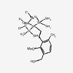 CCO[SiH](OCC)[Si](CCc1c(C)ccc(CO)c1OC)([Si]([SiH3])([SiH3])[SiH3])[Si]([SiH3])([SiH3])OCC